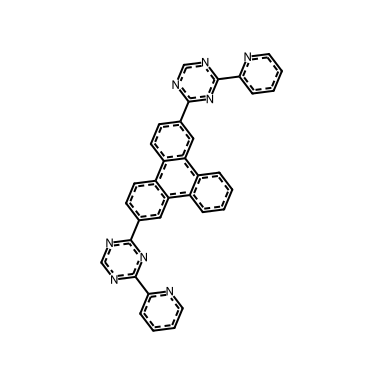 c1ccc(-c2ncnc(-c3ccc4c5ccc(-c6ncnc(-c7ccccn7)n6)cc5c5ccccc5c4c3)n2)nc1